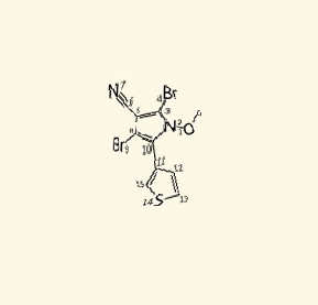 COn1c(Br)c(C#N)c(Br)c1-c1ccsc1